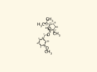 COc1cccc(COC2CC3(C(C)C)CCC2(C)O3)c1